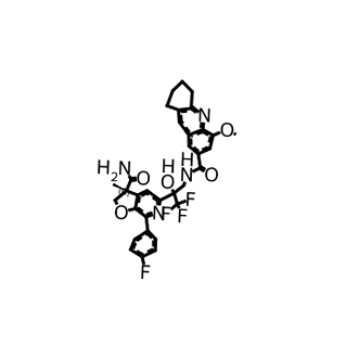 COc1cc(C(=O)NCC(O)(c2cc3c(c(-c4ccc(F)cc4)n2)OC[C@]3(C)C(N)=O)C(F)(F)F)cc2cc3c(nc12)CCCC3